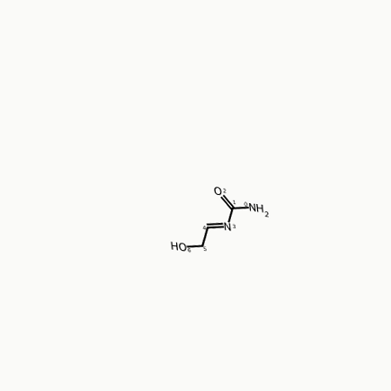 NC(=O)N=CCO